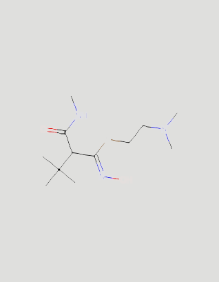 CNC(=O)C(C(=NO)SCCN(C)C)C(C)(C)C